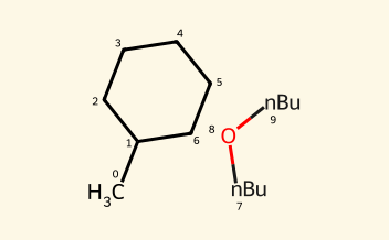 CC1CCCCC1.CCCCOCCCC